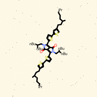 CCCCC(CCCC)CN1C(=O)C2=C(c3ccc(-c4cc(CCC(C)CCCC(C)C)cs4)s3)N(CC(CCCC)CCCC)C(=O)C2=C1c1ccc(-c2cc(CCC(C)CCCC(C)C)cs2)s1